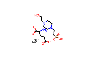 NC(CCC(=O)[O-])C(=O)[O-].O=S(=O)(O)CCN1CCN(CCO)CC1.[Na+].[Na+]